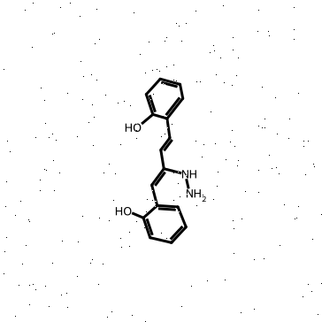 NNC(C=Cc1ccccc1O)=Cc1ccccc1O